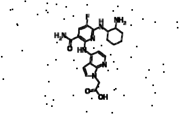 NC(=O)c1cc(F)c(NC2CCCCC2N)nc1Nc1ccnc2c1ccn2CC(=O)O